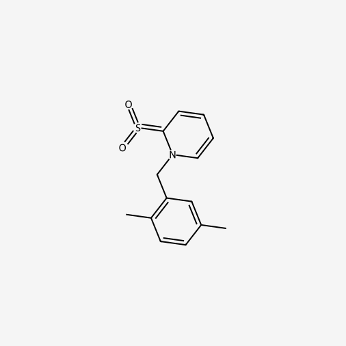 Cc1ccc(C)c(Cn2ccccc2=S(=O)=O)c1